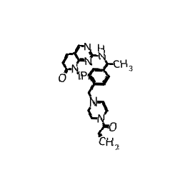 C=CC(=O)N1CCN(Cc2ccc(C(C)Nc3ncc4ccc(=O)n(C(C)C)c4n3)cc2)CC1